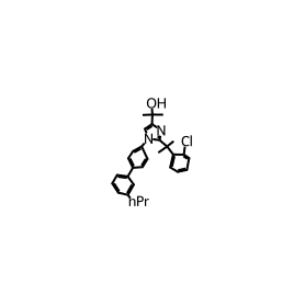 CCCc1cccc(-c2ccc(-n3cc(C(C)(C)O)nc3C(C)(C)c3ccccc3Cl)cc2)c1